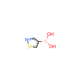 OB(O)c1cnsc1